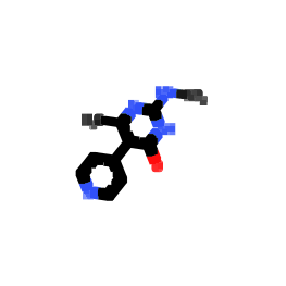 Cc1nc(N[N+](=O)[O-])[nH]c(=O)c1-c1ccncc1